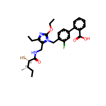 CCOc1nc(CC)c(CNC(=O)[C@@H](S)[C@@H](C)CC)n1Cc1ccc(-c2ccccc2C(=O)O)cc1F